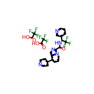 O=C(NC(c1cccnc1)C(F)(F)F)c1ncc2c(-c3ccncc3)cccn12.O=C(O)C(F)(F)F.O=C(O)C(F)(F)F